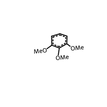 [CH2]Oc1cccc(OC)c1OC